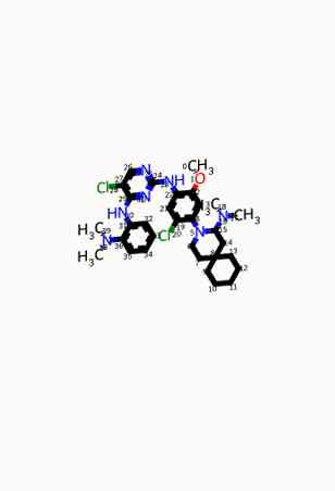 COc1cc(N2CCC3(CCCCC3)CC2N(C)C)c(Cl)cc1Nc1ncc(Cl)c(Nc2ccccc2N(C)C)n1